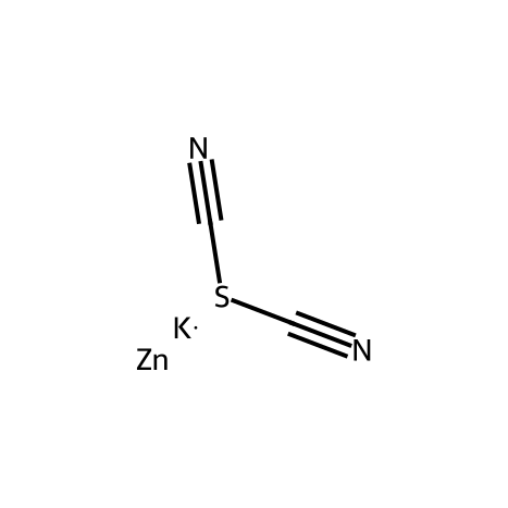 N#CSC#N.[K].[Zn]